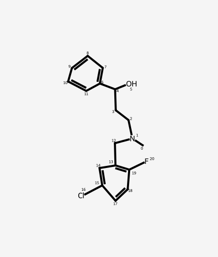 CN(CCC(O)c1ccccc1)Cc1cc(Cl)ccc1F